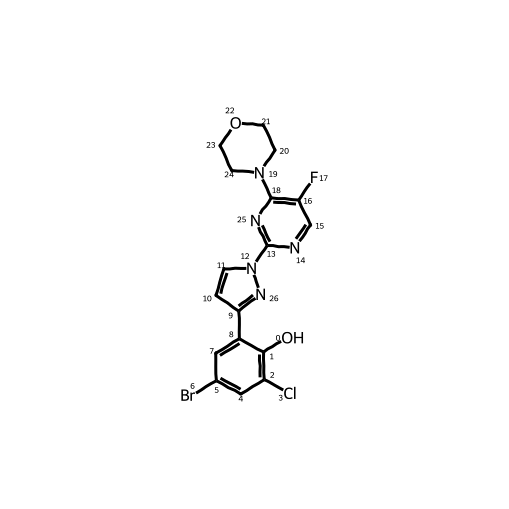 Oc1c(Cl)cc(Br)cc1-c1ccn(-c2ncc(F)c(N3CCOCC3)n2)n1